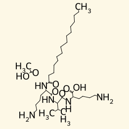 CC(=O)O.CCCCCCCCCCCCCCCC(=O)NC(CCCCN)C(=O)NC(C(=O)NC(CCCCN)C(=O)O)C(C)C